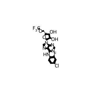 OC1C(O)[C@@H](COC(F)(F)F)O[C@H]1n1cnc2c(Nc3ccc(Cl)cc3F)ncnc21